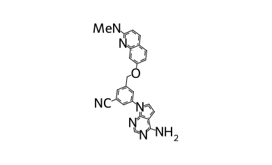 CNc1ccc2ccc(OCc3cc(C#N)cc(-n4ccc5c(N)ncnc54)c3)cc2n1